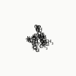 CCC(=O)O[C@]1(C(=O)CCl)[C@@H](C)C[C@H]2[C@@H]3CCC4=CC(=O)C=C[C@]4(C)[C@@]3(F)[C@@H](O)C[C@@]21C.Clc1ccc(COC(Cn2ccnc2)c2ccc(Cl)cc2Cl)c(Cl)c1.O=[N+]([O-])O